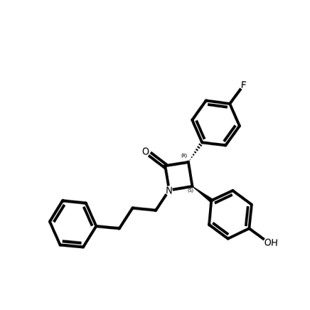 O=C1[C@H](c2ccc(F)cc2)[C@@H](c2ccc(O)cc2)N1CCCc1ccccc1